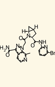 Cc1nccc2c(C(N)=O)nn(CC(=O)N3[C@@H]4C[C@@H]4C[C@H]3C(=O)Nc3cccc(Br)n3)c12